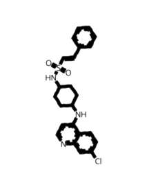 O=S(=O)(C=Cc1ccccc1)NC1CCC(Nc2ccnc3cc(Cl)ccc23)CC1